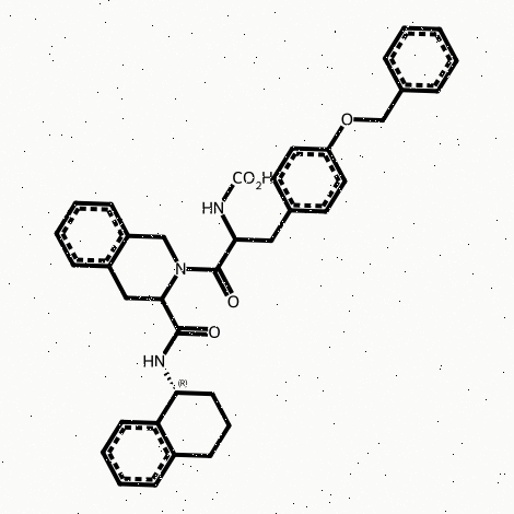 O=C(O)NC(Cc1ccc(OCc2ccccc2)cc1)C(=O)N1Cc2ccccc2CC1C(=O)N[C@@H]1CCCc2ccccc21